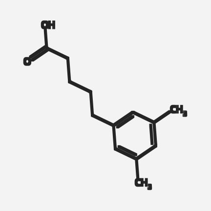 Cc1cc(C)cc(CCCCC(=O)O)c1